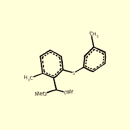 COC(OC)c1c(C)cccc1Sc1cccc(C)c1